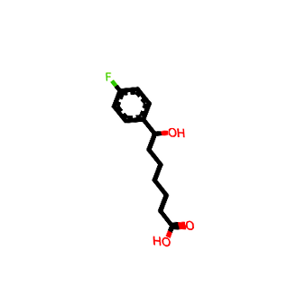 O=C(O)CCCCCC(O)c1ccc(F)cc1